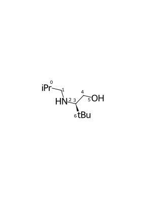 CC(C)CN[C@@H](CO)C(C)(C)C